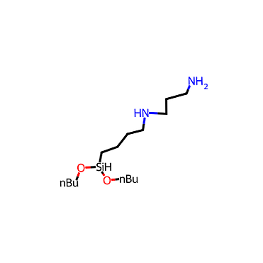 CCCCO[SiH](CCCCNCCCN)OCCCC